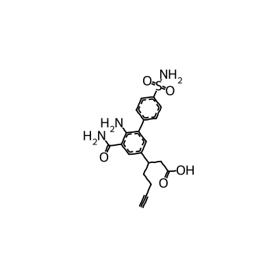 C#CCCC(CC(=O)O)c1cc(C(N)=O)c(N)c(-c2ccc(S(N)(=O)=O)cc2)c1